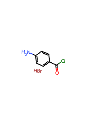 Br.Nc1ccc(C(=O)Cl)cc1